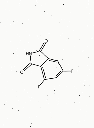 O=C1NC(=O)c2c(I)cc(F)cc21